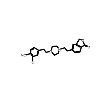 N#Cc1ccc(CCN2CCN(CCc3ccc4c(c3)COC4=O)CC2)cc1Cl